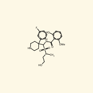 COc1cccc(O)c1C(=O)NC(C1(c2cccc(F)c2)CCNCC1)S(=O)(=O)N(C)CCO